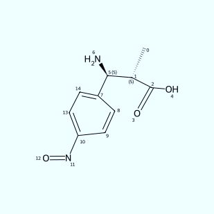 C[C@H](C(=O)O)[C@H](N)c1ccc(N=O)cc1